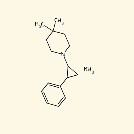 CC1(C)CCN(C2CC2c2ccccc2)CC1.N